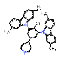 Cc1ccc2c3ccc(C)cc3n(-c3cc(-c4ccncc4)cc(-n4c5cc(C)ccc5c5ccc(C)cc54)c3C#N)c2c1